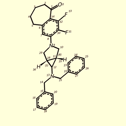 O=C1CCCCc2cc(N3C[C@@H]4C(N(Cc5ccccc5)Cc5ccccc5)[C@@H]4C3)c(F)c(F)c21